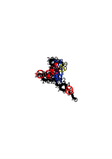 CCCCOc1ccc(CC2/C(=C/c3ccc(OC)cc3)N(C(=O)OCc3ccccc3)/C(=N\C(=O)c3nccs3)N2C)cc1